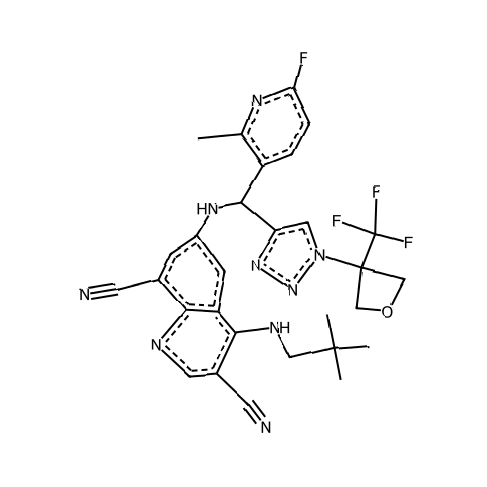 Cc1nc(F)ccc1C(Nc1cc(C#N)c2ncc(C#N)c(NCC(C)(C)C)c2c1)c1cn(C2(C(F)(F)F)COC2)nn1